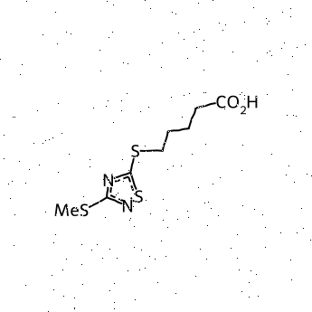 CSc1nsc(SCCCCC(=O)O)n1